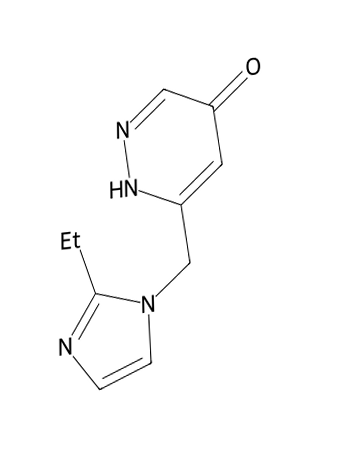 CCc1nccn1Cc1cc(=O)cn[nH]1